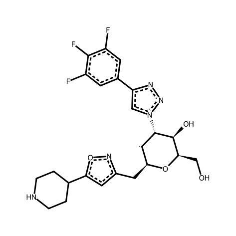 OC[C@H]1O[C@@H](Cc2cc(C3CCNCC3)on2)[CH][C@H](n2cc(-c3cc(F)c(F)c(F)c3)nn2)[C@H]1O